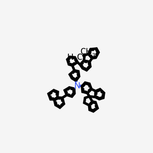 CC1(C)c2ccccc2-c2cccc(-c3ccccc3-c3ccc(N(c4ccc(-c5cccc6ccccc56)cc4)c4ccc5c(c4)C4(CCc6ccccc64)c4ccccc4-5)cc3)c21